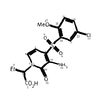 CCC(C(=O)O)n1ccc(S(=O)(=O)c2cc(Cl)ccc2OC)c(N)c1=O